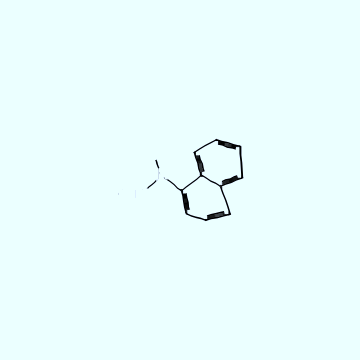 CN(C=O)c1cccc2ccccc12